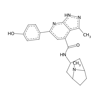 Cc1n[nH]c2nc(-c3ccc(O)cc3)cc(C(=O)NC3CC4CCC(C3)N4C)c12